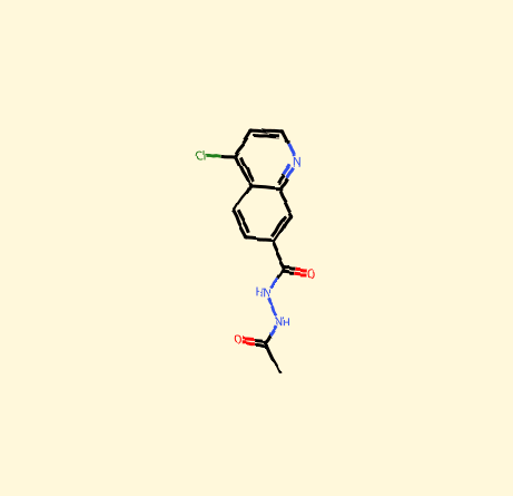 CC(=O)NNC(=O)c1ccc2c(Cl)ccnc2c1